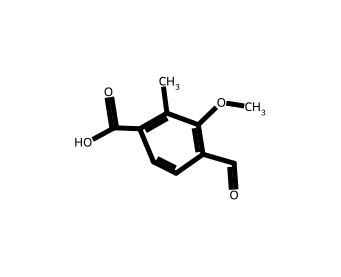 COc1c(C=O)ccc(C(=O)O)c1C